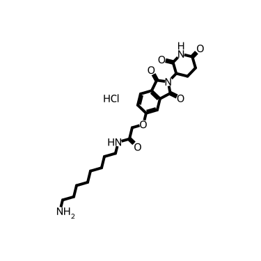 Cl.NCCCCCCCCNC(=O)COc1ccc2c(c1)C(=O)N(C1CCC(=O)NC1=O)C2=O